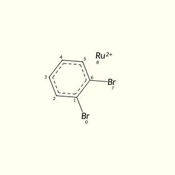 Brc1ccccc1Br.[Ru+2]